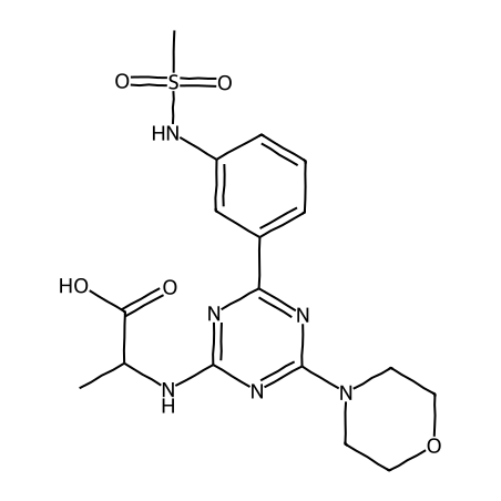 CC(Nc1nc(-c2cccc(NS(C)(=O)=O)c2)nc(N2CCOCC2)n1)C(=O)O